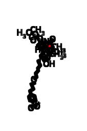 CC(C)(C)OC(=O)Oc1ccc(C(CN(CCCCCCOCCCCc2ccc([N+](=O)[O-])cc2)C(=O)O)O[Si](C)(C)C(C)(C)C)c2ccc(=O)[nH]c12